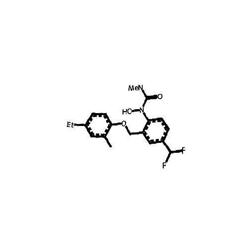 CCc1ccc(OCc2cc(C(F)F)ccc2N(O)C(=O)NC)c(C)c1